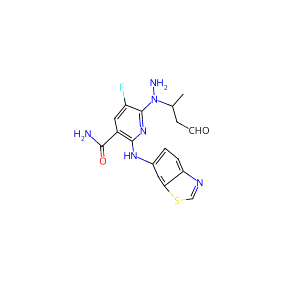 CC(CC=O)N(N)c1nc(Nc2ccc3ncsc3c2)c(C(N)=O)cc1F